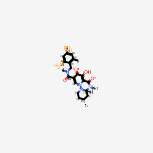 CCN1C(=O)c2c(O)c(=O)c(C(=O)N(C)Cc3c(C)cc(P)cc3P)cn2N2CC[C@@H](C)C[C@@H]12